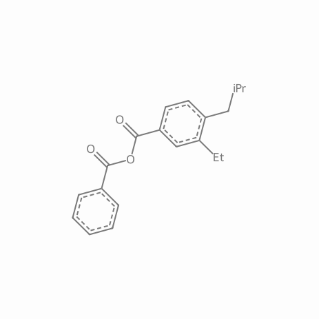 CCc1cc(C(=O)OC(=O)c2ccccc2)ccc1CC(C)C